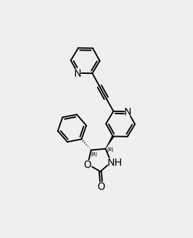 O=C1N[C@H](c2ccnc(C#Cc3ccccn3)c2)[C@@H](c2ccccc2)O1